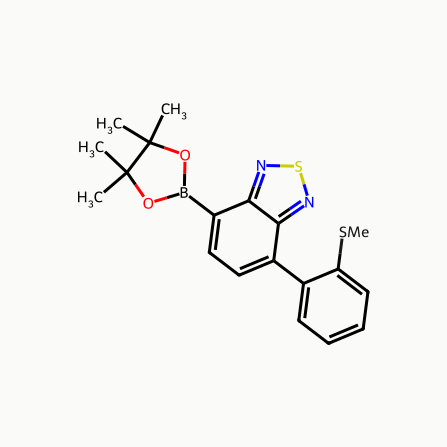 CSc1ccccc1-c1ccc(B2OC(C)(C)C(C)(C)O2)c2nsnc12